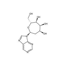 OC[C@H]1O[C@H](n2cnc3cncnc32)C[C@H](O)[C@H](O)[C@@H]1O